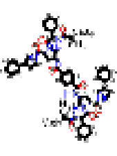 CN[C@@H](C)C(=O)N[C@H](C(=O)N1C[C@@H](NC(=O)c2ccc(C(=O)N[C@H]3C[C@@H](C(=O)N4CC[C@@H](c5ccccc5)C4)N(C(=O)[C@@H](NC(=O)[C@H](C)NC)C4CCCCC4)C3)cc2)C[C@H]1C(=O)N1CCC(c2ccccc2)C1)C1CCCCC1